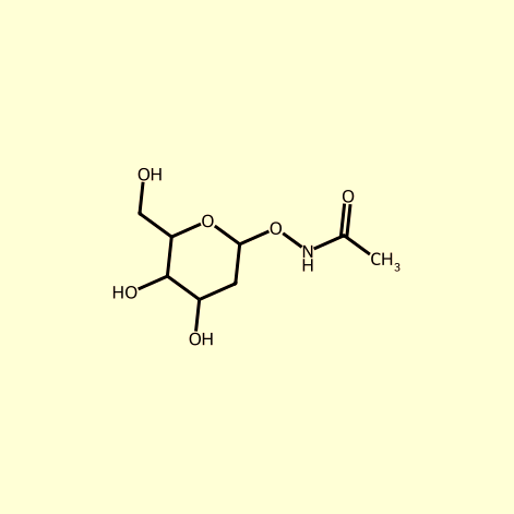 CC(=O)NOC1CC(O)C(O)C(CO)O1